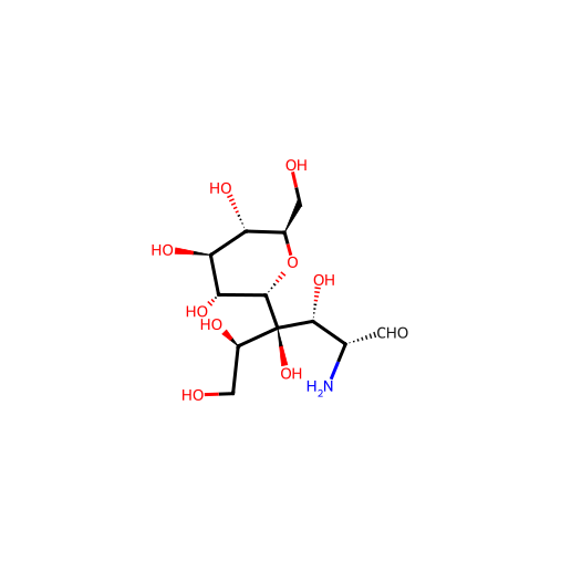 N[C@@H](C=O)[C@@H](O)[C@](O)([C@H](O)CO)[C@H]1O[C@H](CO)[C@@H](O)[C@H](O)[C@H]1O